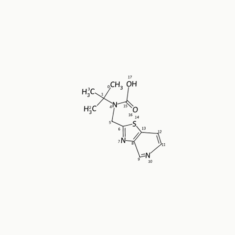 CC(C)(C)N(Cc1nc2cnccc2s1)C(=O)O